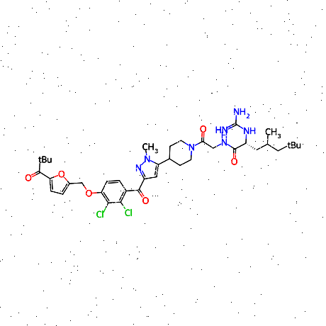 CC(C[C@@H](NC(=N)N)C(=O)NCC(=O)N1CCC(c2cc(C(=O)c3ccc(OCc4ccc(C(=O)C(C)(C)C)o4)c(Cl)c3Cl)nn2C)CC1)CC(C)(C)C